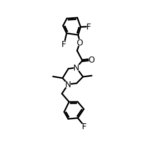 CC1CN(C(=O)COc2c(F)cccc2F)C(C)CN1Cc1ccc(F)cc1